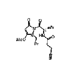 C#CCCC(=O)N[C@@H](CCC)C(=O)N1C(=O)C=C(OC)[C@@H]1CC(C)C